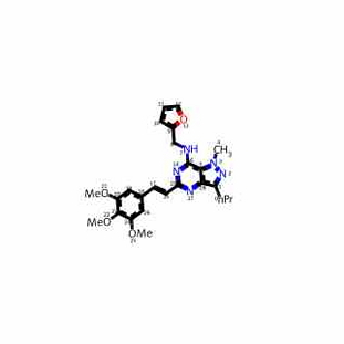 CCCc1nn(C)c2c(NCc3ccco3)nc(/C=C/c3cc(OC)c(OC)c(OC)c3)nc12